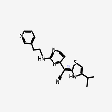 CC(C)C1=CS/C(=C(/C#N)c2ccnc(NCCc3cccnc3)n2)N1